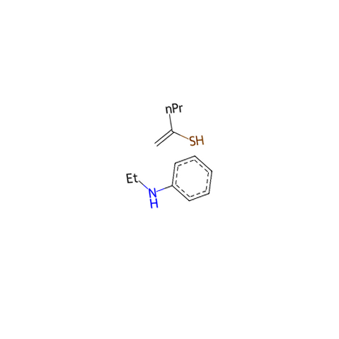 C=C(S)CCC.CCNc1ccccc1